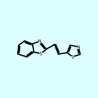 C(=C\c1nc2ccccc2s1)/c1cncs1